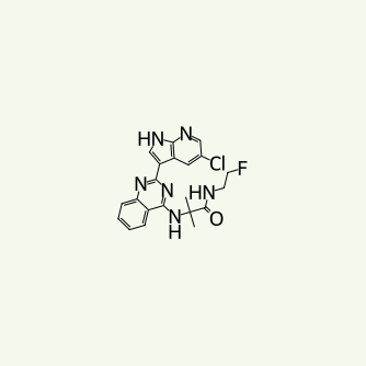 CC(C)(Nc1nc(-c2c[nH]c3ncc(Cl)cc23)nc2ccccc12)C(=O)NCCF